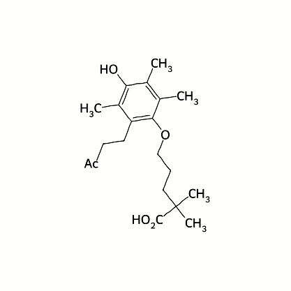 CC(=O)CCc1c(C)c(O)c(C)c(C)c1OCCCC(C)(C)C(=O)O